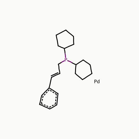 C(=Cc1ccccc1)CP(C1CCCCC1)C1CCCCC1.[Pd]